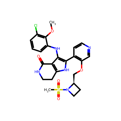 COc1c(Cl)cccc1Nc1c(-c2ccncc2OC[C@H]2CCN2S(C)(=O)=O)[nH]c2c1C(=O)NCC2